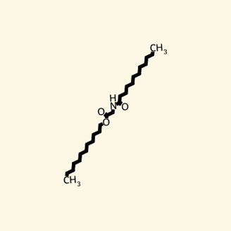 CCCCCCCCCCCCOC(=O)CNC(=O)CCCCCCCCCCC